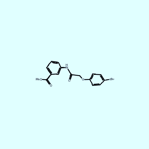 COC(=O)c1cccc(NC(=O)COc2ccc(C(C)(C)C)cc2)c1